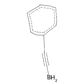 BC#Cc1ccccc1